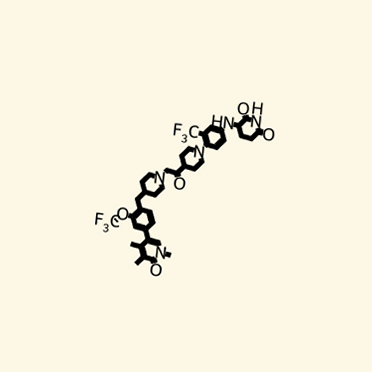 Cc1c(-c2ccc(CC3CCN(CC(=O)C4CCN(c5ccc(NC6CCC(=O)NC6=O)cc5C(F)(F)F)CC4)CC3)c(OC(F)(F)F)c2)cn(C)c(=O)c1C